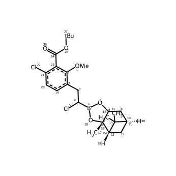 COc1c(CC(Cl)B2OC3C[C@H]4C[C@@H](C4(C)C)[C@]3(C)O2)ccc(Cl)c1C(=O)OC(C)(C)C